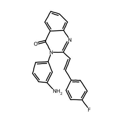 Nc1cccc(-n2c(/C=C/c3ccc(F)cc3)nc3ccccc3c2=O)c1